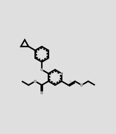 CCO/C=C/c1cc(C(=O)OCC)c(Oc2cccc(C3CC3)c2)cn1